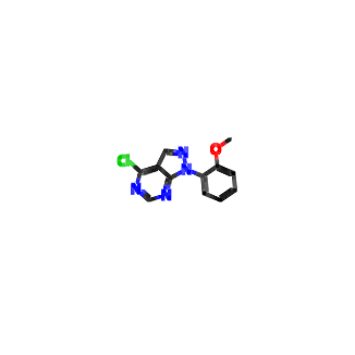 COc1ccccc1-n1ncc2c(Cl)ncnc21